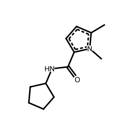 Cc1ccc(C(=O)NC2CCCC2)n1C